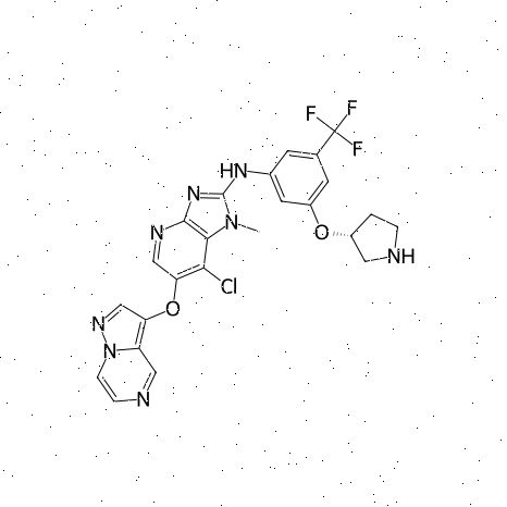 Cn1c(Nc2cc(O[C@@H]3CCNC3)cc(C(F)(F)F)c2)nc2ncc(Oc3cnn4ccncc34)c(Cl)c21